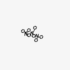 c1ccc(CCn2c3cc(N=C(c4ccccc4)c4ccccc4)ccc3c3ccc(N=C(c4ccccc4)c4ccccc4)cc32)cc1